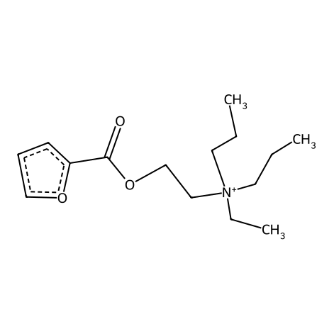 CCC[N+](CC)(CCC)CCOC(=O)c1ccco1